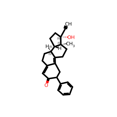 C#C[C@]1(O)CC[C@H]2[C@@H]3CCC4=CC(=O)C(c5ccccc5)CC4=C3CC[C@@]21C